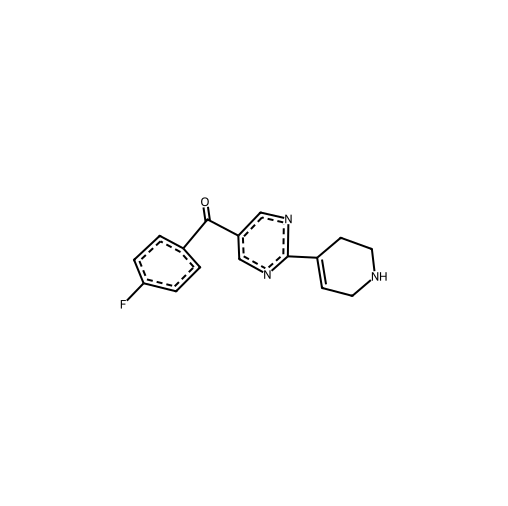 O=C(c1ccc(F)cc1)c1cnc(C2=CCNCC2)nc1